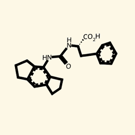 O=C(Nc1c2c(cc3c1CCC3)CCC2)N[C@@H](Cc1ccccc1)C(=O)O